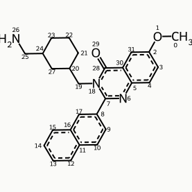 COc1ccc2nc(-c3ccc4ccccc4c3)n(CC3CCCC(CN)C3)c(=O)c2c1